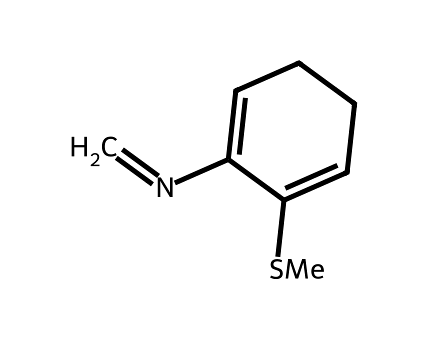 C=NC1=CCCC=C1SC